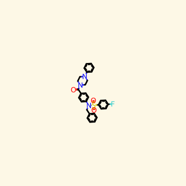 O=C(c1ccc(N(Cc2ccccc2)S(=O)(=O)c2ccc(F)cc2)cc1)N1CCN(c2ccccc2)CC1